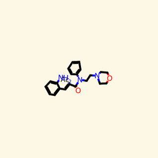 CC(=O)C(=Cc1ccccc1N)C(=O)N(CCN1CCOCC1)c1ccccc1